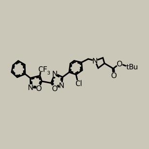 CC(C)(C)OC(=O)C1CN(Cc2ccc(-c3noc(-c4onc(-c5ccccc5)c4C(F)(F)F)n3)c(Cl)c2)C1